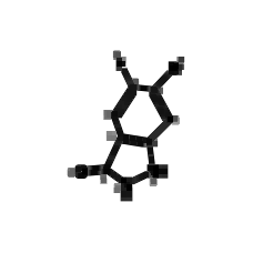 O=c1[nH][nH]c2cc(Br)c(F)cc12